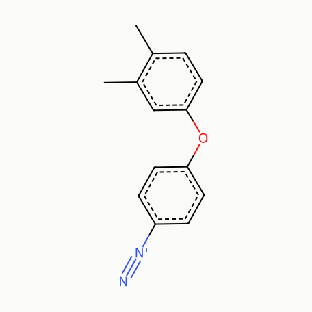 Cc1ccc(Oc2ccc([N+]#N)cc2)cc1C